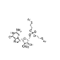 CO[C@@H]1[C@H](O)[C@@H](COP(=O)(OCCSC(C)=O)OCCSC(C)=O)O[C@H]1n1cnc2c(=O)[nH]c(N)nc21